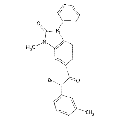 Cc1cccc(C(Br)C(=O)c2ccc3c(c2)n(C)c(=O)n3-c2ccccc2)c1